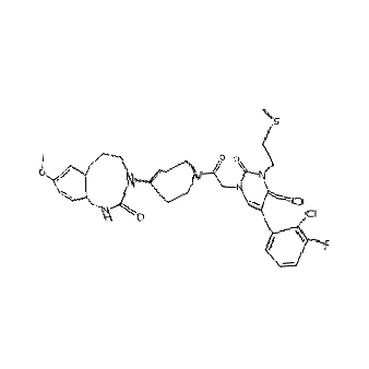 COC1=CC2CCN(C3CCN(C(=O)Cn4cc(-c5cccc(F)c5Cl)c(=O)n(CCSC)c4=O)CC3)C(=O)NC2C=C1